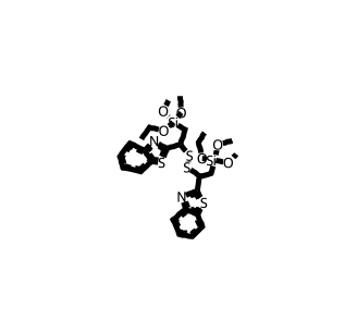 CCO[Si](CC(SSC(C[Si](OC)(OC)OCC)c1nc2ccccc2s1)c1nc2ccccc2s1)(OC)OC